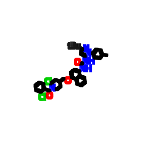 Cc1ccc(-n2nc(C(C)(C)C)cc2NC(=O)Nc2ccc(OCC3CCN(C(=O)c4c(Cl)cccc4Cl)CC3)c3ccccc23)cc1